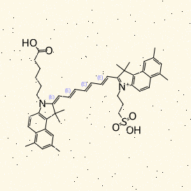 Cc1cc(C)c2ccc3c(c2c1)C(C)(C)C(/C=C/C=C/C=C/C=C1/N(CCCCCC(=O)O)c2ccc4c(C)cc(C)cc4c2C1(C)C)=[N+]3CCCS(=O)(=O)O